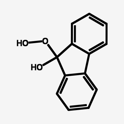 OOC1(O)c2ccccc2-c2ccccc21